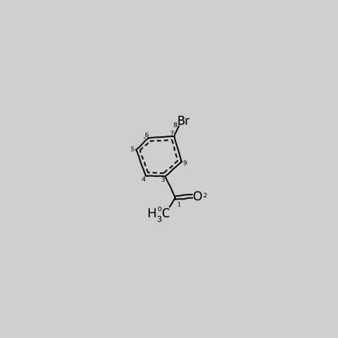 CC(=O)c1cc[c]c(Br)c1